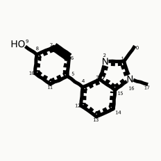 Cc1nc2c(-c3c#cc(O)cc3)cccc2n1C